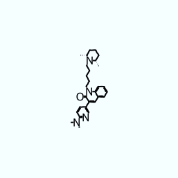 C[C@@H]1CCC[C@H](C)N1CCCCCn1c(=O)c(-c2ccc(N(C)C)nc2)cc2ccccc21